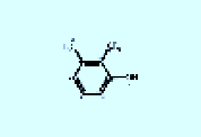 Oc1cccc(C(F)(F)F)c1C(F)(F)F